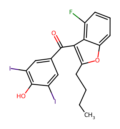 CCCCc1oc2cccc(F)c2c1C(=O)c1cc(I)c(O)c(I)c1